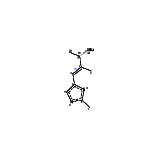 C/C(=C\c1cnc(C)s1)[C@H](C)C(C)(C)C